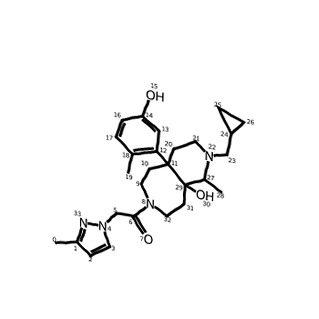 Cc1ccn(CC(=O)N2CCC3(c4cc(O)ccc4C)CCN(CC4CC4)C(C)C3(O)CC2)n1